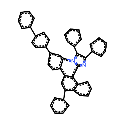 c1ccc(-c2ccc(-c3ccc4c5cc(-c6ccccc6)c6ccccc6c5c5nc(-c6ccccc6)c(-c6ccccc6)n5c4c3)cc2)cc1